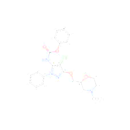 O=C(Nc1c(Cl)c(OCC2CN(C(=O)O)CCO2)nn1-c1ccccc1)Oc1ccccc1